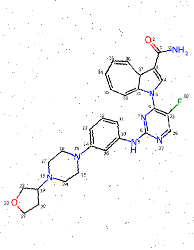 NC(=O)C1=CN(c2nc(Nc3cccc(N4CCN(C5CCOC5)CC4)c3)ncc2F)C2=CC=CC=CC12